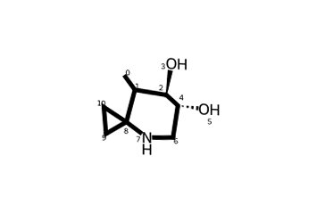 CC1[C@@H](O)[C@H](O)CNC12CC2